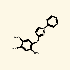 COc1cc(OC(C)=O)c(OC)cc1Nc1ccn(-c2ccccc2)n1